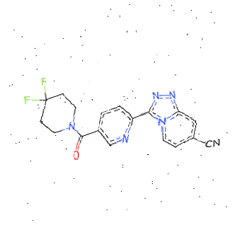 N#Cc1ccn2c(-c3ccc(C(=O)N4CCC(F)(F)CC4)cn3)nnc2c1